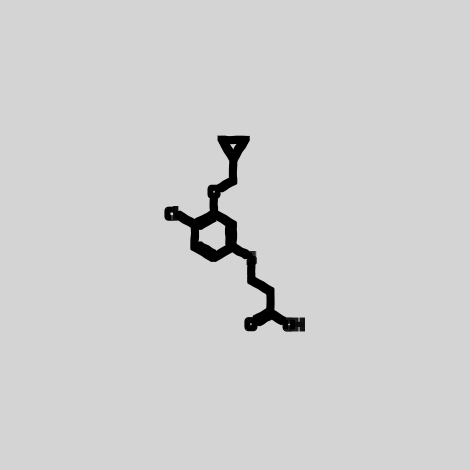 O=C(O)CCSc1ccc(Cl)c(OCC2CC2)c1